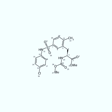 COC(=O)[C@H](Cc1cc(S(=O)(=O)Nc2ccc(Cl)cc2)ccc1C)NC(=O)OC(C)(C)C